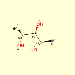 CC(C)[C@@H](O)[C@H](O)[C@@H](O)C(C)C